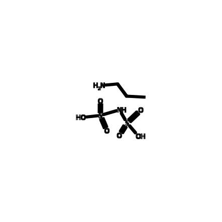 CCCN.O=S(=O)(O)NS(=O)(=O)O